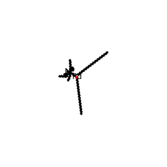 CCCCCCCCCCCCCCCCCCCCCCCCCCC[CH2][Pd][CH2]CCCCCCCCCCCCCCCCCCCCCCCCCCC.CCCCCCc1cccc(C2=C(CCCC)C(CCCCC)=C(c3ccc(CCCC)cc3)[N+]2=[N-])c1